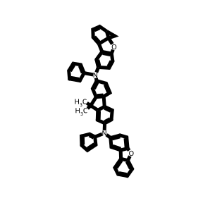 CC1(C)c2cc(N(c3ccccc3)c3ccc4c(c3)C3=CC=CC5CC35O4)ccc2-c2ccc(N(c3ccccc3)c3ccc4oc5ccccc5c4c3)cc21